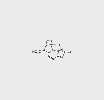 CC12CCC1C(C(=O)O)c1cnc3cc(F)nn3c12